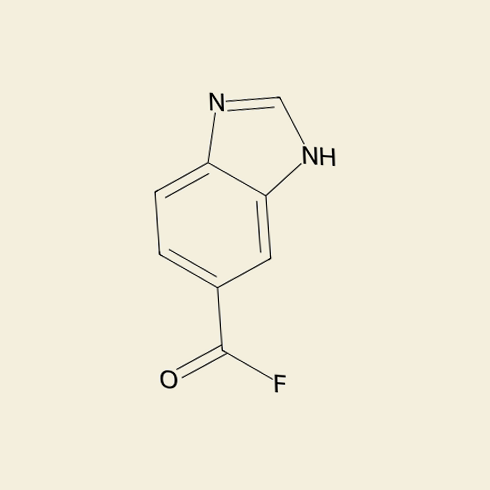 O=C(F)c1ccc2nc[nH]c2c1